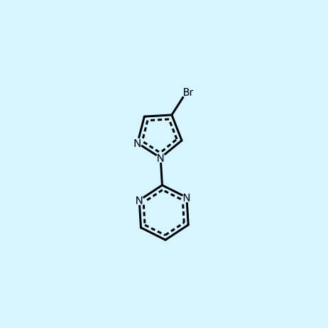 Brc1cnn(-c2ncccn2)c1